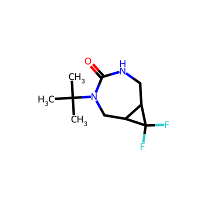 CC(C)(C)N1CC2C(CNC1=O)C2(F)F